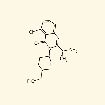 C[C@H](N)c1nc2cccc(Cl)c2c(=O)n1C1CCN(CC(F)(F)F)CC1